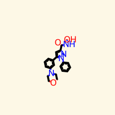 O=C(NO)c1cc(-c2cccc(N3CCOCC3)c2)n(-c2ccccc2)n1